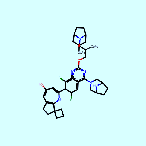 COC1CC2CCC(C1)N2C[C@H](COc1nc(N2CC3CCC(C2)N3)c2c(n1)=C(F)C(C1=CC(O)=CC3=C(N1)C1(CCC1)CC3)C(F)C=2)OC